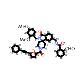 COc1ccc(CN2C(=O)c3ccc(CNC(=O)c4ccccc4C=O)cc3C23CCN(C(=O)c2ccc(C#Cc4ccccc4)o2)CC3)c(OC)c1